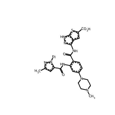 CCn1nc(C)cc1C(=O)Nc1cc(N2CCN(C)CC2)ccc1C(=O)Nc1n[nH]c2sc(C(=O)O)cc12